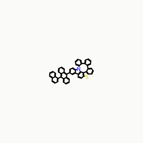 c1ccc2c(-c3c4ccccc4c(-c4ccc5c(c4)c4ccc6sc7cccc8c9ccccc9c9ccccc9n5c4c6c78)c4ccccc34)cccc2c1